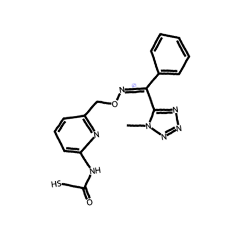 Cn1nnnc1/C(=N\OCc1cccc(NC(=O)S)n1)c1ccccc1